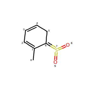 CC1=[C]C=CCC1=S(=O)=O